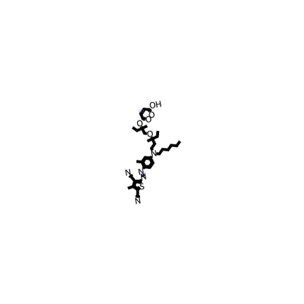 CCCCCCN(CCC(C)(CC)OCC(C)(CC)OC(=O)/C=C\C(=O)O)c1ccc(/N=N/c2sc(C#N)c(C)c2C#N)c(C)c1